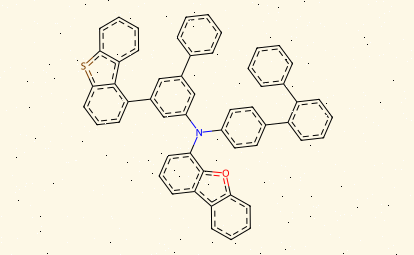 c1ccc(-c2cc(-c3cccc4sc5ccccc5c34)cc(N(c3ccc(-c4ccccc4-c4ccccc4)cc3)c3cccc4c3oc3ccccc34)c2)cc1